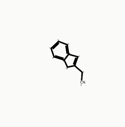 N#CCC1=Cc2ccccc2C1